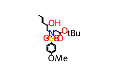 CC=CC(O)CN(CC(=O)OC(C)(C)C)S(=O)(=O)c1ccc(OC)cc1